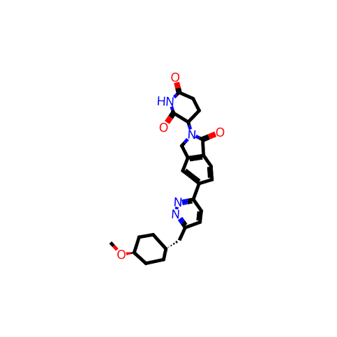 CO[C@H]1CC[C@H](Cc2ccc(-c3ccc4c(c3)CN(C3CCC(=O)NC3=O)C4=O)nn2)CC1